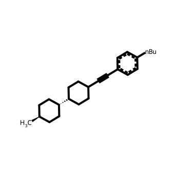 CCCCc1ccc(C#CC2CCC([C@H]3CC[C@H](C)CC3)CC2)cc1